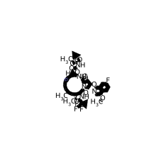 CC[C@@H]1C[C@H](C)CC/C=C\[C@@H]2C[C@]2(OC(=O)NS(=O)(=O)C2(C)CC2)NC(=O)[C@@H]2C[C@@H](Oc3ncc(OC)c4ccc(F)cc34)CN2C(=O)[C@H]1NC(=O)C1(C(F)(F)F)CC1